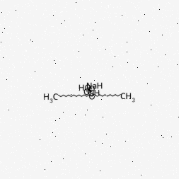 CCCCCCCCCCCCCCOCCCCCCCCCCCC.O=S(=O)(O)O.[NaH]